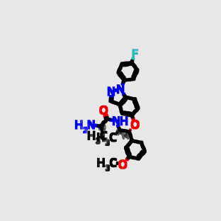 COC1=CC([C@@H](Oc2ccc3c(cnn3-c3ccc(F)cc3)c2)[C@H](C)NC(=O)[C@@H](C)N)CC=C1